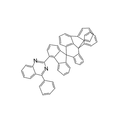 c1ccc(-c2nc(-c3cccc4c3-c3ccccc3C43c4ccccc4C4(c5ccccc5)c5ccccc5-c5cccc3c54)nc3ccccc23)cc1